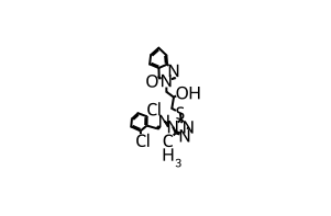 Cc1nnc(SCC(O)Cn2cnc3ccccc3c2=O)n1N=Cc1c(Cl)cccc1Cl